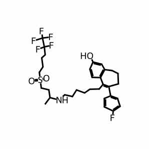 CC(CCS(=O)(=O)CCCCC(F)(F)C(F)(F)F)NCCCCCCC1=C(c2ccc(F)cc2)CCCc2cc(O)ccc21